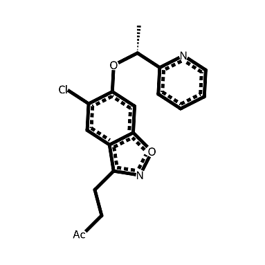 CC(=O)CCc1noc2cc(O[C@H](C)c3ccccn3)c(Cl)cc12